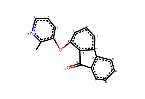 Cc1ncccc1Oc1cc[c]c2c1C(=O)c1ccccc1-2